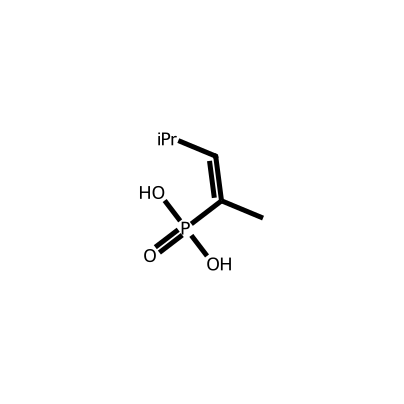 CC(=CC(C)C)P(=O)(O)O